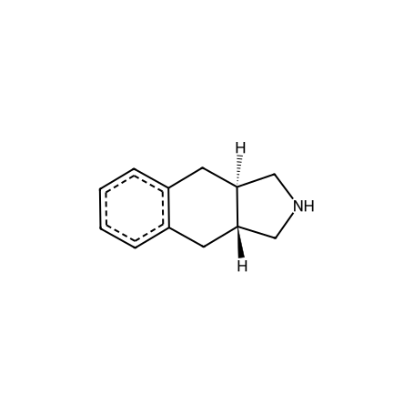 c1ccc2c(c1)C[C@H]1CNC[C@@H]1C2